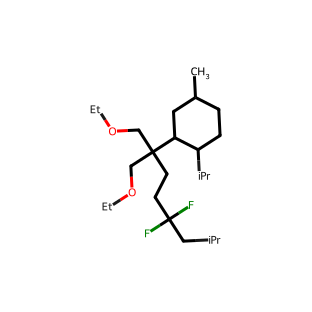 CCOCC(CCC(F)(F)CC(C)C)(COCC)C1CC(C)CCC1C(C)C